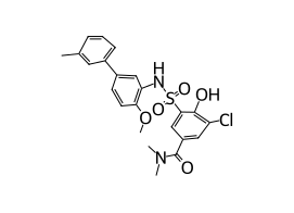 COc1ccc(-c2cccc(C)c2)cc1NS(=O)(=O)c1cc(C(=O)N(C)C)cc(Cl)c1O